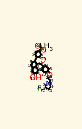 CS(=O)(=O)c1ccc(-c2ccc3cc(O)ccc3c2C(=O)c2ccc(OCCN3CC[C@@H](CF)C3)cc2)cc1